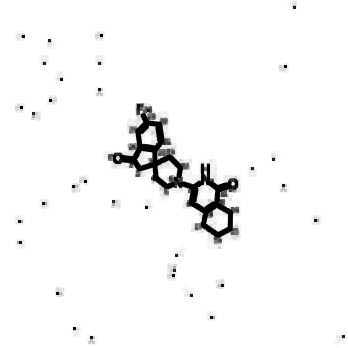 O=C1CC2(CCN(c3cc4c(c(=O)[nH]3)CCCC4)CC2)c2ccc(F)cc21